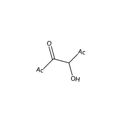 CC(=O)C(=O)C(O)C(C)=O